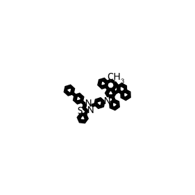 CC1c2ccccc2-c2cc3c(c4c2CC1c1ccc2ccccc2c1-4)c1ccccc1n3-c1ccc(-c2nc(-c3ccc(-c4ccccc4)cc3)c3sc4ccccc4c3n2)cc1